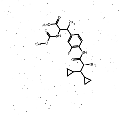 COC(=O)C(NC(=O)OC(C)(C)C)C(c1ccc(NC(=O)[C@@H](N)C(C2CC2)C2CC2)c(F)c1)C(F)(F)F